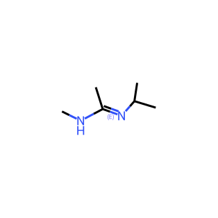 CN/C(C)=N/C(C)C